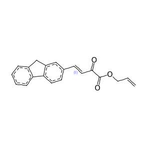 C=CCOC(=O)C(=O)/C=C/c1ccc2c(c1)Cc1ccccc1-2